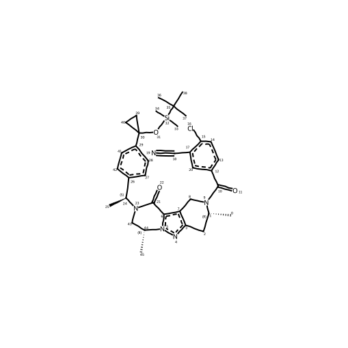 C[C@@H]1Cc2nn3c(c2CN1C(=O)c1ccc(Cl)c(C#N)c1)C(=O)N([C@@H](C)c1ccc(C2(O[Si](C)(C)C(C)(C)C)CC2)cc1)C[C@H]3C